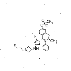 C[C@@H]1Cc2cc(OS(=O)(=O)C(F)(F)F)ccc2[C@@H](C2C=C(NC3CN(CCCF)C3)C=C2F)N1c1ccccc1